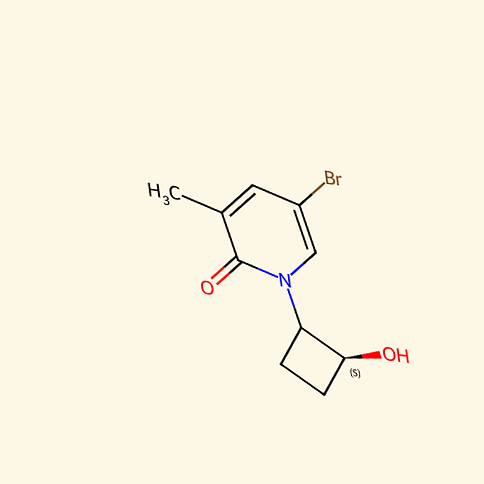 Cc1cc(Br)cn(C2CC[C@@H]2O)c1=O